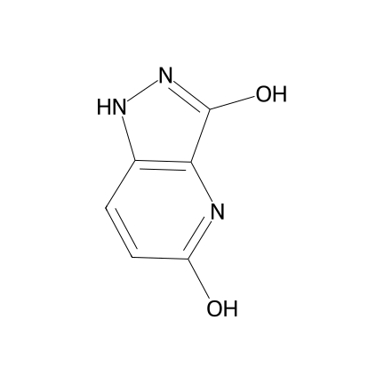 Oc1ccc2[nH]nc(O)c2n1